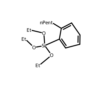 CCCCCc1ccccc1[Si](OCC)(OCC)OCC